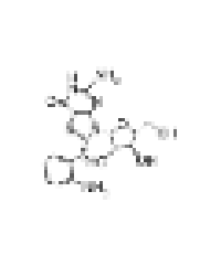 Nc1nc2c(nc(Sc3ccccc3N)n2[C@@H]2O[C@H](CO)[C@@H](O)[C@H]2O)c(=O)[nH]1